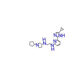 c1cc(NCCNC2CCN(C3CCCC3)C2)nc(-c2ncc(C3CC3)[nH]2)c1